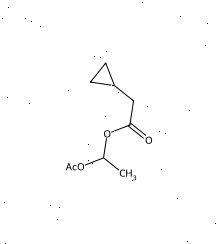 CC(=O)OC(C)OC(=O)CC1CC1